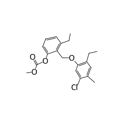 CCc1cc(C)c(Cl)cc1OCc1c(CC)cccc1OC(=O)OC